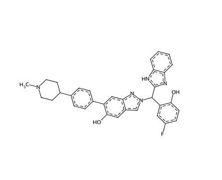 CN1CCC(c2ccc(-c3cc4nn(C(c5nc6ccccc6[nH]5)c5cc(F)ccc5O)cc4cc3O)cc2)CC1